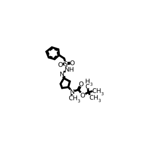 CN(C(=O)OC(C)(C)C)C1CC/C(=N/NS(=O)(=O)Cc2ccccc2)C1